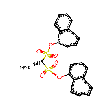 O=S(=O)(CS(=O)(=O)Oc1cccc2ccccc12)Oc1cccc2ccccc12.[NaH].[NaH]